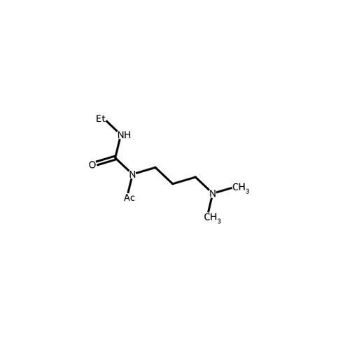 CCNC(=O)N(CCCN(C)C)C(C)=O